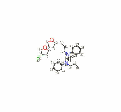 C1CCOC1.C1CCOC1.CCC[N]([Hf+2][N](CCC)c1ccccc1)c1ccccc1.[F-].[F-]